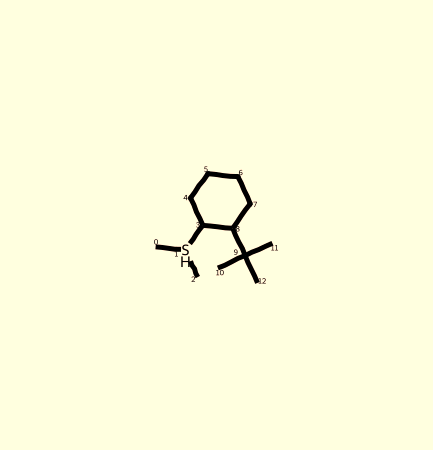 C[SH](C)C1CCCCC1C(C)(C)C